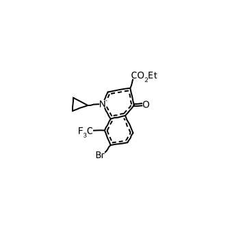 CCOC(=O)c1cn(C2CC2)c2c(C(F)(F)F)c(Br)ccc2c1=O